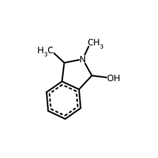 CC1c2ccccc2C(O)N1C